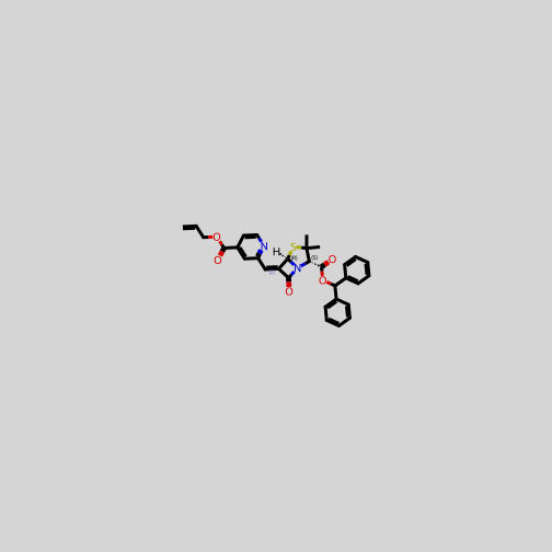 C=CCOC(=O)c1ccnc(/C=C2/C(=O)N3[C@@H]2SC(C)(C)[C@@H]3C(=O)OC(c2ccccc2)c2ccccc2)c1